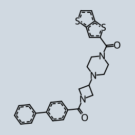 O=C(c1ccc(-c2ccccc2)cc1)N1CC(N2CCN(C(=O)c3cc4sccc4s3)CC2)C1